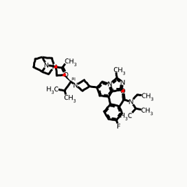 CCN(C(=O)c1cc(F)ccc1-c1cc(C2CN([C@H](CCCN3C4CCC3CN(C(C)=O)C4)C(C)C)C2)cn2c(C)ncc12)C(C)C